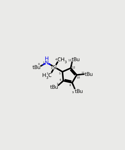 CC(C)(C)N[Si](C)(C)C1C(C(C)(C)C)=C(C(C)(C)C)C(C(C)(C)C)=C1C(C)(C)C